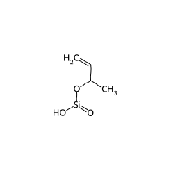 C=CC(C)O[Si](=O)O